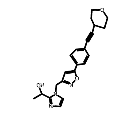 CC(O)c1nccn1Cc1cc(-c2ccc(C#CC3CCOCC3)cc2)on1